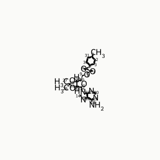 Cc1ccc(S(=O)(=O)OC[C@H]2O[C@@H](n3cnc4c(N)ncnc43)[C@@H]3OC(C)(C)O[C@@H]32)cc1